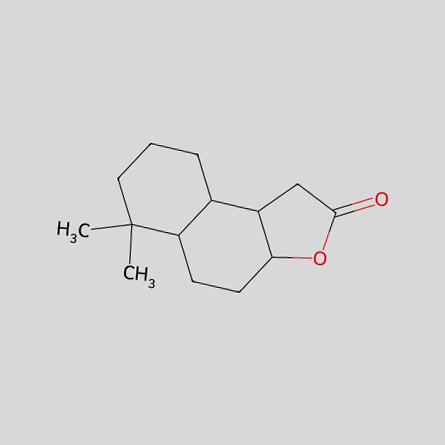 CC1(C)CCCC2C3CC(=O)OC3CCC21